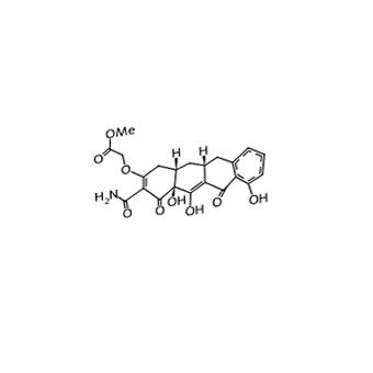 COC(=O)COC1=C(C(N)=O)C(=O)[C@@]2(O)C(O)=C3C(=O)c4c(O)cccc4C[C@H]3C[C@H]2C1